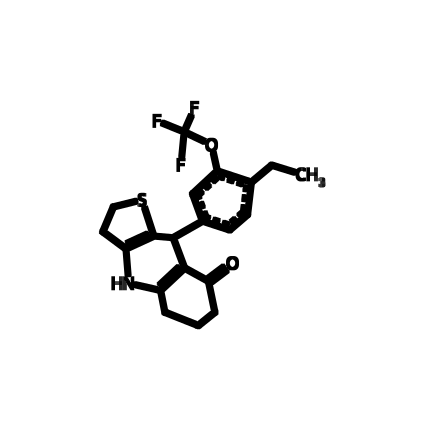 CCc1ccc(C2C3=C(CCS3)NC3=C2C(=O)CCC3)cc1OC(F)(F)F